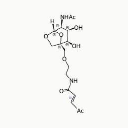 CC(=O)/C=C/C(=O)NCCOC[C@@]12CO[C@@H](O1)[C@@H](NC(C)=O)[C@@H](O)[C@H]2O